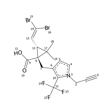 C#CCn1ccc(C[C@@]2(C(=O)O)[C@H](C=C(Br)Br)C2(C)C)c1C(F)(F)F